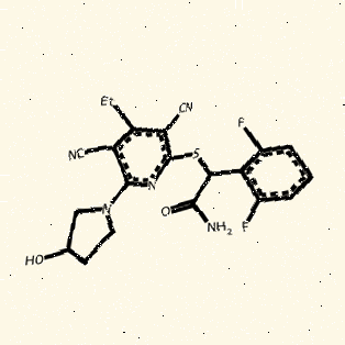 CCc1c(C#N)c(SC(C(N)=O)c2c(F)cccc2F)nc(N2CCC(O)C2)c1C#N